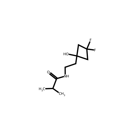 CC(C)C(=O)NCCC1(O)CC(F)(F)C1